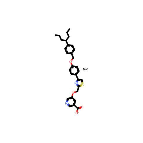 CCCC(CCC)c1ccc(COc2ccc(-c3csc(COc4cncc(C(=O)[O-])c4)n3)cc2)cc1.[Na+]